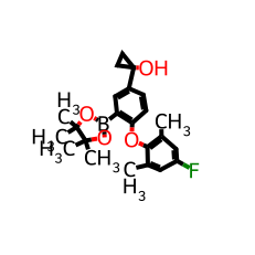 Cc1cc(F)cc(C)c1Oc1ccc(C2(O)CC2)cc1B1OC(C)(C)C(C)(C)O1